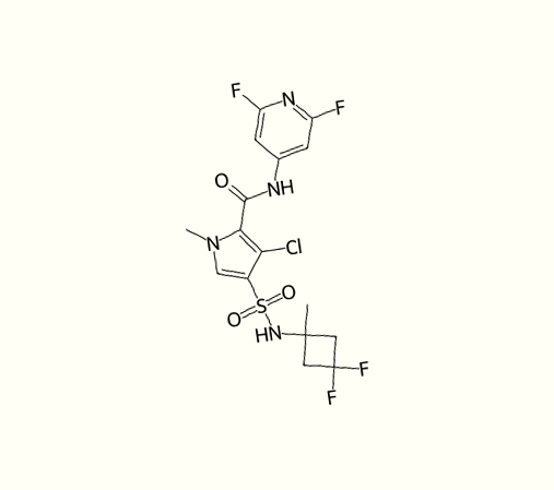 Cn1cc(S(=O)(=O)NC2(C)CC(F)(F)C2)c(Cl)c1C(=O)Nc1cc(F)nc(F)c1